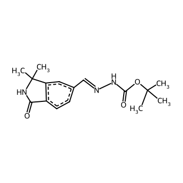 CC(C)(C)OC(=O)N/N=C/c1ccc2c(c1)C(C)(C)NC2=O